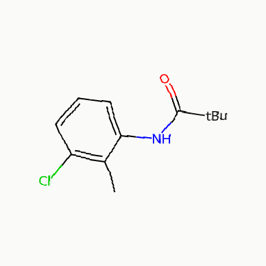 Cc1c(Cl)cccc1NC(=O)C(C)(C)C